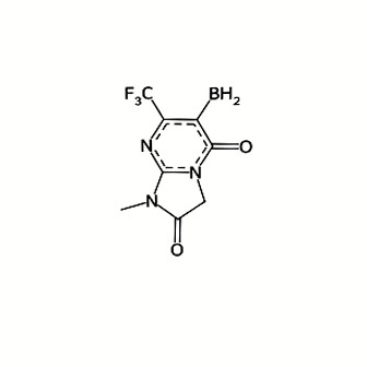 Bc1c(C(F)(F)F)nc2n(c1=O)CC(=O)N2C